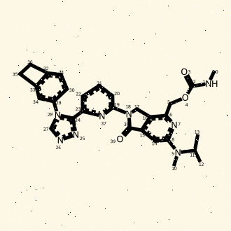 CNC(=O)OCc1nc(N(C)C(C)C)cc2c1CN(c1cccc(-c3nncn3-c3ccc4c(c3)CC4)n1)C2=O